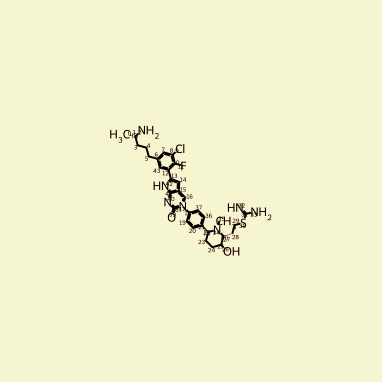 C[C@H](N)CCCc1cc(Cl)c(F)c(-c2cc3cn(-c4ccc([C@@H]5CCC(O)[C@@H](CCSC(=N)N)N5C)cc4)c(=O)nc3[nH]2)c1